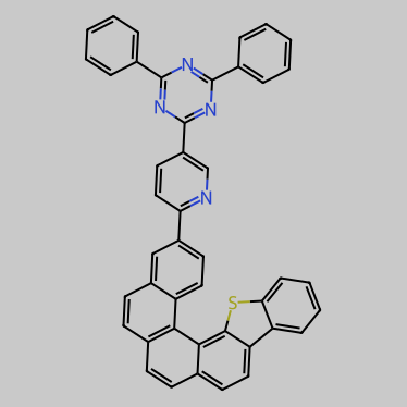 c1ccc(-c2nc(-c3ccccc3)nc(-c3ccc(-c4ccc5c(ccc6ccc7ccc8c9ccccc9sc8c7c65)c4)nc3)n2)cc1